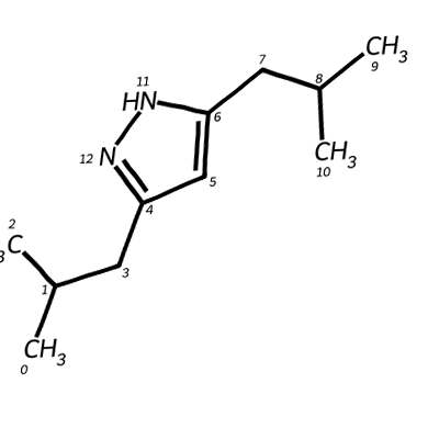 CC(C)Cc1cc(CC(C)C)[nH]n1